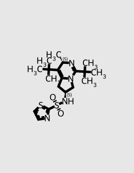 C[C@@H]1N=C(C(C)(C)C)N2C[C@@H](NS(=O)(=O)c3nccs3)CC2=C1C(C)(C)C